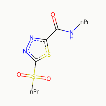 CCCNC(=O)c1nnc(S(=O)(=O)CCC)s1